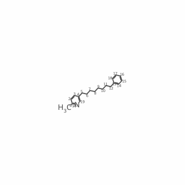 Cc1ccc(CCCCCCCCc2ccccc2)cn1